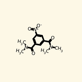 CN(C)C(=O)c1cc(C(=O)N(C)C)cc([N+](=O)[O-])c1